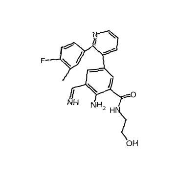 Cc1cc(-c2ncccc2-c2cc(C=N)c(N)c(C(=O)NCCO)c2)ccc1F